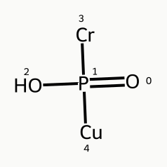 O=[P](O)([Cr])[Cu]